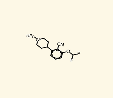 CCCN1CCC(c2cccc(OC(F)F)c2C#N)CC1